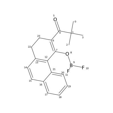 CC(C)(C)C(=O)C1=C(OB(F)F)c2c(ccc3ccccc23)CC1